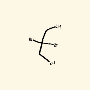 OCC(Br)(Br)CO